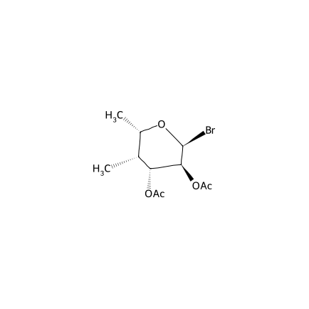 CC(=O)O[C@@H]1[C@H](C)[C@H](C)O[C@@H](Br)[C@H]1OC(C)=O